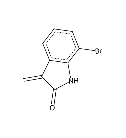 C=C1C(=O)Nc2c(Br)cccc21